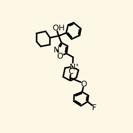 OC(c1ccccc1)(c1cc(C[N+]23CCC(CC2)C(Oc2cccc(F)c2)C3)on1)C1CCCCC1